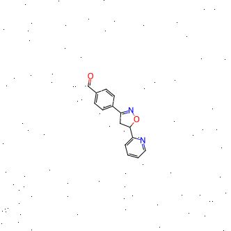 O=[C]c1ccc(C2=NOC(c3ccccn3)C2)cc1